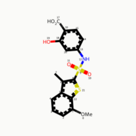 COc1cccc2c(C)c(S(=O)(=O)Nc3ccc(C(=O)O)c(O)c3)sc12